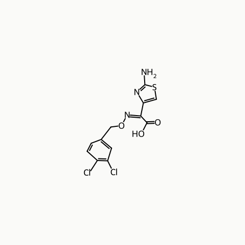 Nc1nc(C(=NOCc2ccc(Cl)c(Cl)c2)C(=O)O)cs1